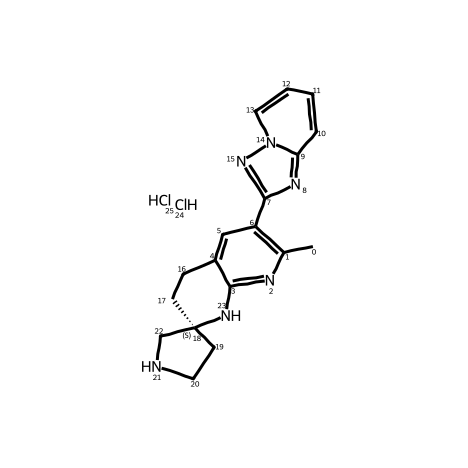 Cc1nc2c(cc1-c1nc3ccccn3n1)CC[C@@]1(CCNC1)N2.Cl.Cl